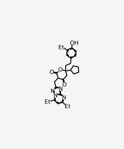 CCc1cc(CC)n2nc(CC3C(=O)CC(CCc4ccc(O)c(CC)c4)(C4CCCC4)OC3=O)nc2n1